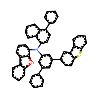 c1ccc(-c2cc(-c3ccc4sc5ccccc5c4c3)cc(N(c3ccc(-c4ccccc4)c4ccccc34)c3cccc4c3oc3ccccc34)c2)cc1